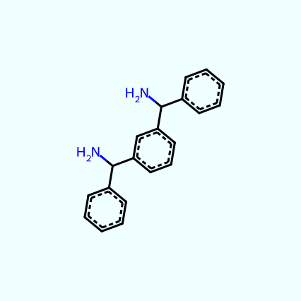 NC(c1ccccc1)c1cccc(C(N)c2ccccc2)c1